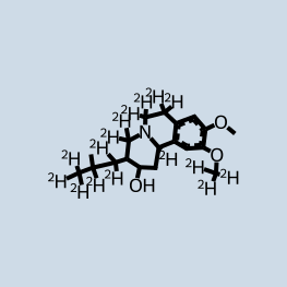 [2H]C([2H])([2H])Oc1cc2c(cc1OC)C([2H])([2H])C([2H])([2H])N1C2([2H])CC(O)C(C([2H])([2H])C([2H])(C)C([2H])([2H])[2H])C1([2H])[2H]